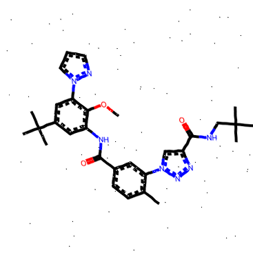 COc1c(NC(=O)c2ccc(C)c(-n3cc(C(=O)NCC(C)(C)C)nn3)c2)cc(C(C)(C)C)cc1-n1cccn1